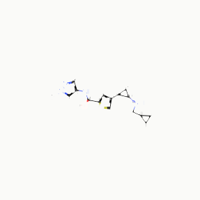 Cc1nn(C)cc1NC(=O)c1cc(C2CC2NCC2CC2)cs1